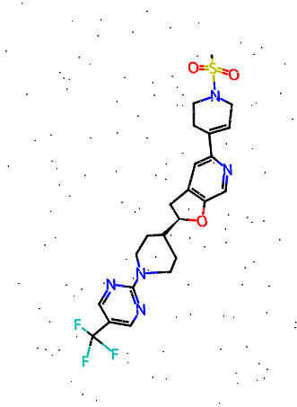 CS(=O)(=O)N1CC=C(c2cc3c(cn2)O[C@@H](C2CCN(c4ncc(C(F)(F)F)cn4)CC2)C3)CC1